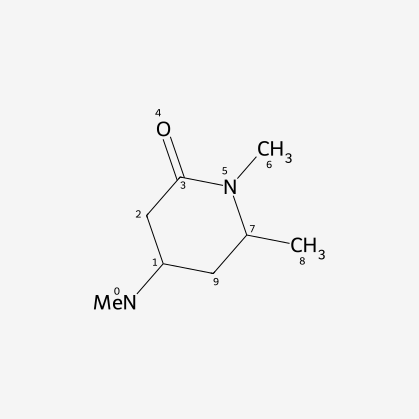 CNC1CC(=O)N(C)C(C)C1